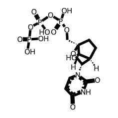 O=c1ccn([C@@H]2O[C@@]3(COP(=O)(O)OP(=O)(O)OP(=O)(O)O)CC[C@@H]2[C@@H]3O)c(=O)[nH]1